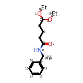 CCOC(CCCC(=O)N[C@H](C)c1ccccc1)OCC